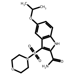 CC(C)Oc1ccc2[nH]c(C(N)=O)c(S(=O)(=O)N3CCOCC3)c2c1